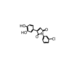 O=C1C=C(c2ccc(O)c(O)c2)C(=O)N1c1cccc(Cl)c1